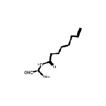 C=CCCCCCC(=O)N[C@H](C=O)C(C)(C)C